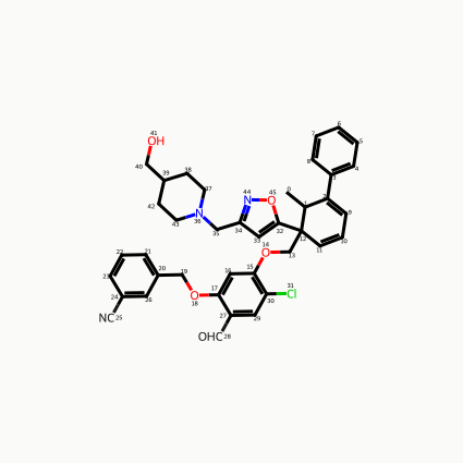 CC1C(c2ccccc2)=CC=CC1(COc1cc(OCc2cccc(C#N)c2)c(C=O)cc1Cl)c1cc(CN2CCC(CO)CC2)no1